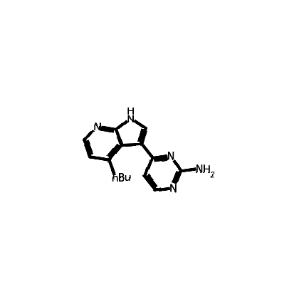 CCCCc1ccnc2[nH]cc(-c3ccnc(N)n3)c12